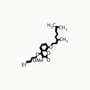 CCC=CCCOc1c(OC)c(=O)oc2c(OCC=C(C)CCC=C(C)C)cccc12